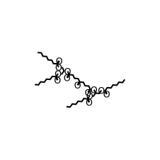 CCCCCCCC(=O)OCC(COC(=O)CCCCCCC)OC(=O)CCCC(=O)CCCC(=O)OC(COC(=O)CCCCCCC)COC(=O)CCCCCCC